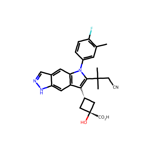 Cc1cc(-n2c(C(C)(C)CC#N)c([C@H]3C[C@](O)(C(=O)O)C3)c3cc4[nH]ncc4cc32)ccc1F